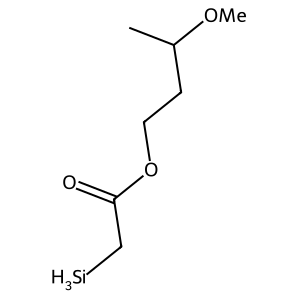 COC(C)CCOC(=O)C[SiH3]